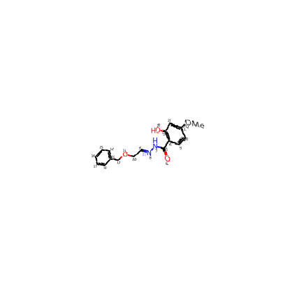 COc1ccc(C(=O)N/N=C/COCc2ccccc2)c(O)c1